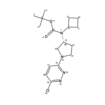 CC(C)(C)OC(=O)N(C1CCC1)[C@@H]1CCN(c2ccc(Cl)nn2)C1